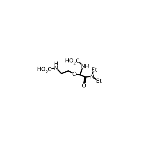 CCN(CC)C(=O)C(CCCNC(=O)O)NC(=O)O